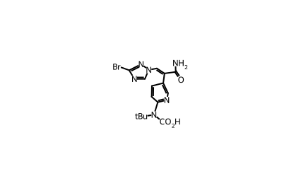 CC(C)(C)N(C(=O)O)c1ccc(/C(=C\n2cnc(Br)n2)C(N)=O)cn1